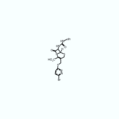 CCCNC(=O)NC1C(=O)N2C(C(=O)O)=C(CSc3ccc(Br)nn3)CS[C@@H]12